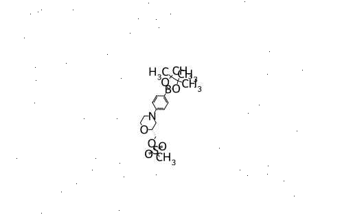 CC1(C)OB(c2ccc(N3CCO[C@@H](COS(C)(=O)=O)C3)cc2)OC1(C)C